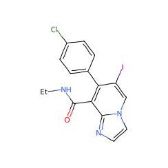 CCNC(=O)c1c(-c2ccc(Cl)cc2)c(I)cn2ccnc12